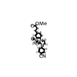 COC(=O)CCc1ccc(N2CCN(c3ccc(C#N)cc3)C2=O)c(S(C)(=O)=O)c1